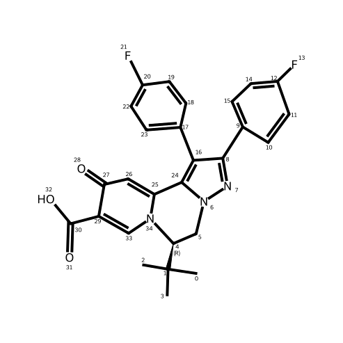 CC(C)(C)[C@@H]1Cn2nc(-c3ccc(F)cc3)c(-c3ccc(F)cc3)c2-c2cc(=O)c(C(=O)O)cn21